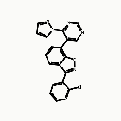 Clc1ccccc1-c1noc2c(-c3cncnc3-n3cccn3)cccc12